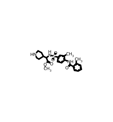 COC(=O)C(NS(=O)(=O)c1ccc(NC(=O)c2ccccc2C)c(C)c1)C1CCNCC1